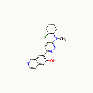 CN(c1ccc(-c2cc3cnccc3cc2O)nn1)[C@@H]1CCCC[C@@H]1F